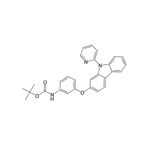 CC(C)(C)OC(=O)Nc1cccc(Oc2ccc3c4ccccc4n(-c4ccccn4)c3c2)c1